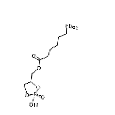 CCCCCCCCCCCCCCCC(=O)OC[C@@H]1COP(=O)(O)O1